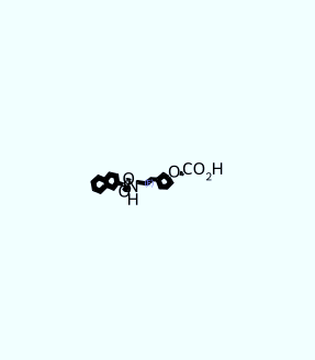 O=C(O)COc1cccc(/C=C/CNS(=O)(=O)c2ccc3ccccc3c2)c1